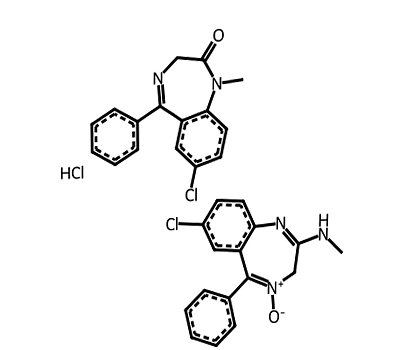 CN1C(=O)CN=C(c2ccccc2)c2cc(Cl)ccc21.CNC1=Nc2ccc(Cl)cc2C(c2ccccc2)=[N+]([O-])C1.Cl